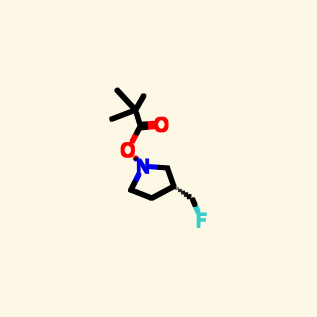 CC(C)(C)C(=O)ON1CC[C@@H](CF)C1